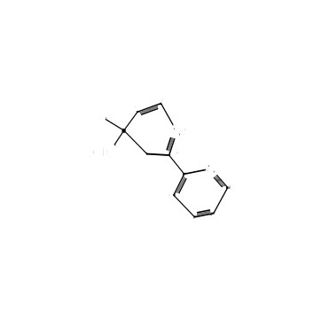 CC1(C=O)C=CN=C(c2ccccn2)C1